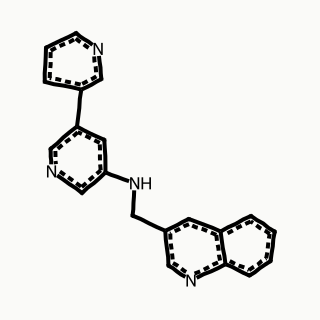 c1cncc(-c2cncc(NCc3cnc4ccccc4c3)c2)c1